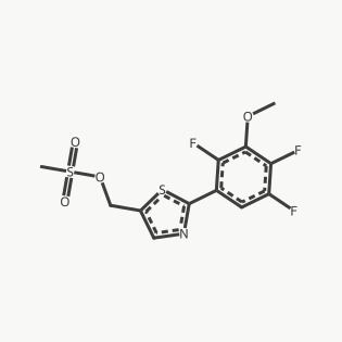 COc1c(F)c(F)cc(-c2ncc(COS(C)(=O)=O)s2)c1F